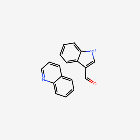 O=Cc1c[nH]c2ccccc12.c1ccc2ncccc2c1